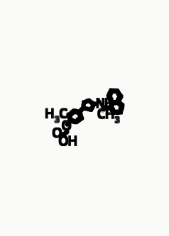 Cc1cc(C2CCC(N[C@H](C)c3cccc4ccccc34)C2)ccc1OCC(=O)O